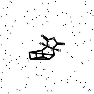 O=C1OC(=O)[C@H]2C3C4C5C6C4C(C6C53)[C@@H]12